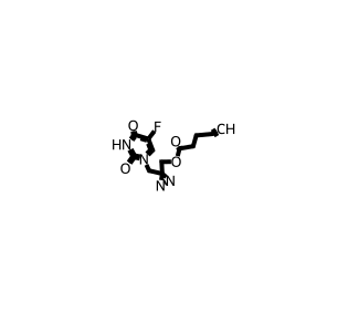 C#CCCC(=O)OCC1(Cn2cc(F)c(=O)[nH]c2=O)N=N1